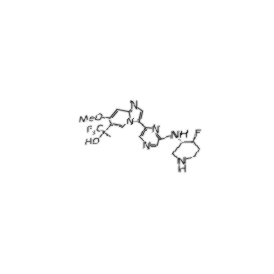 COc1cc2ncc(-c3cncc(N[C@H]4CNCC[C@@H]4F)n3)n2cc1C(C)(O)C(F)(F)F